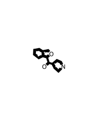 O=C(c1ccncc1)c1occ2ccccc12